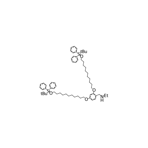 CCNCc1ccc(OCCCCCCCCCCCO[Si](c2ccccc2)(c2ccccc2)C(C)(C)C)cc1OCCCCCCCCCCCO[Si](c1ccccc1)(c1ccccc1)C(C)(C)C